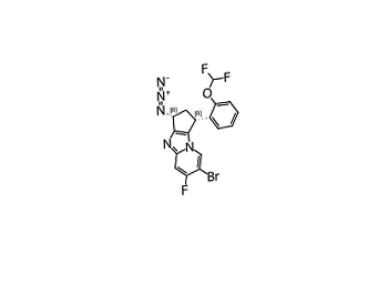 [N-]=[N+]=N[C@@H]1C[C@H](c2ccccc2OC(F)F)c2c1nc1cc(F)c(Br)cn21